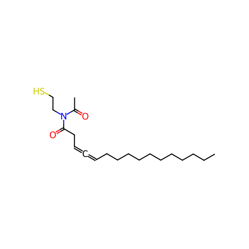 CCCCCCCCCCCC=C=CCC(=O)N(CCS)C(C)=O